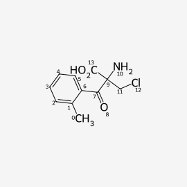 Cc1ccccc1C(=O)C(N)(CCl)C(=O)O